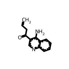 C=CCC(=O)c1cnc2ccccc2c1N